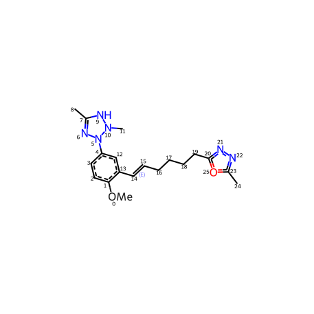 COc1ccc(N2N=C(C)NN2C)cc1/C=C/CCCCc1nnc(C)o1